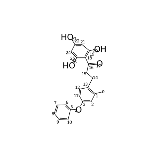 Cc1cc(Oc2ccccc2)ccc1CCC(=O)c1c(O)cc(O)cc1O